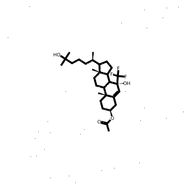 CC(=O)O[C@H]1CC[C@@]2(C)C(=C[C@](O)(C(F)(F)F)C3C4CCC([C@H](C)CCCC(C)(C)O)[C@@]4(C)CCC32)C1